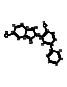 [O]c1ccc(-c2ccccc2)cc1-n1nc2ccc(Cl)cc2n1